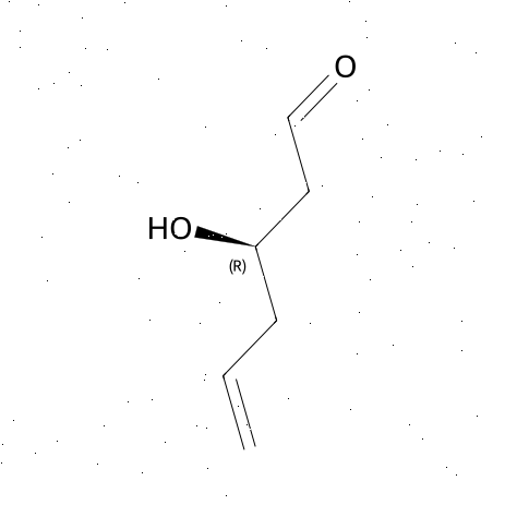 C=CC[C@@H](O)CC=O